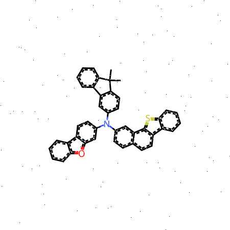 CC1(C)c2ccccc2-c2cc(N(c3ccc4c(c3)oc3ccccc34)c3ccc4ccc5c6ccccc6sc5c4c3)ccc21